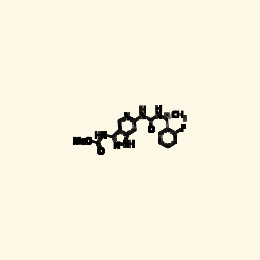 COC(=O)Nc1n[nH]c2cc(NC(=O)N[C@H](C)c3ccccc3F)ncc12